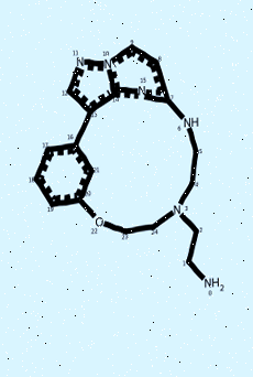 NCCN1CCNc2ccn3ncc(c3n2)-c2cccc(c2)OCC1